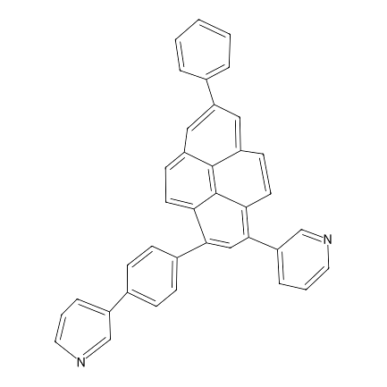 c1ccc(-c2cc3ccc4c(-c5ccc(-c6cccnc6)cc5)cc(-c5cccnc5)c5ccc(c2)c3c45)cc1